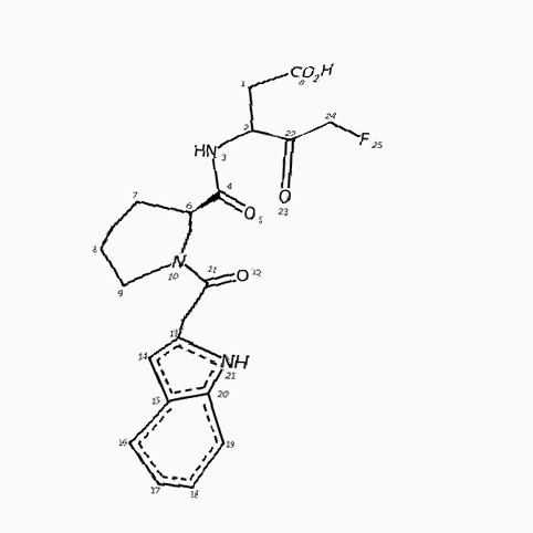 O=C(O)CC(NC(=O)[C@@H]1CCCN1C(=O)c1cc2ccccc2[nH]1)C(=O)CF